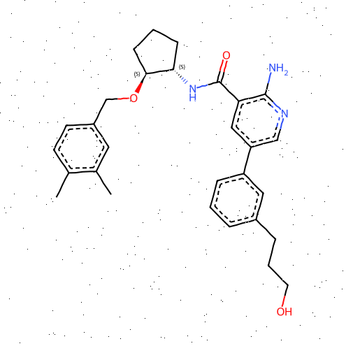 Cc1ccc(CO[C@H]2CCC[C@@H]2NC(=O)c2cc(-c3cccc(CCCO)c3)cnc2N)cc1C